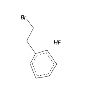 BrCCc1ccccc1.F